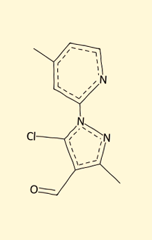 Cc1ccnc(-n2nc(C)c(C=O)c2Cl)c1